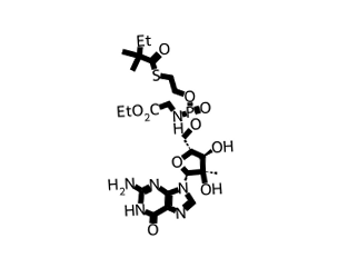 CCOC(=O)CNP(=O)(OCCSC(=O)C(C)(C)CC)OC[C@H]1O[C@@H](n2cnc3c(=O)[nH]c(N)nc32)[C@](C)(O)[C@@H]1O